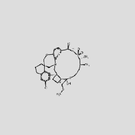 COC[C@@]1(O)CCC[C@H](C)[C@@H](C)S(=O)(=O)NC(=O)c2ccc3c(c2)N(C[C@@H]2CC[C@H]21)C[C@@]1(CCCc2cc(Cl)ccc21)CO3